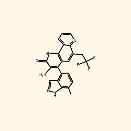 Nc1c(-c2ccc(F)c3[nH]ncc23)c2cc(CC(F)(F)F)c3ncccc3c2[nH]c1=O